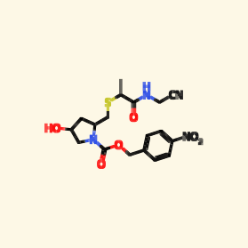 CC(SCC1CC(O)CN1C(=O)OCc1ccc([N+](=O)[O-])cc1)C(=O)NCC#N